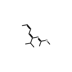 C\C=C/C=C(\N=C(/C)OC)C(C)C